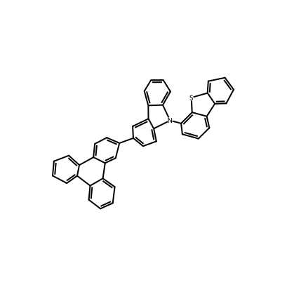 c1ccc2c(c1)sc1c(-n3c4ccccc4c4cc(-c5ccc6c7ccccc7c7ccccc7c6c5)ccc43)cccc12